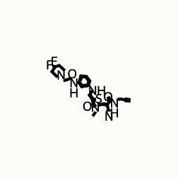 C#CCNC(=O)C(C#N)=c1sc(=CNc2cccc(NC(=O)CN3CCC(F)(F)CC3)c2)c(=O)n1CC